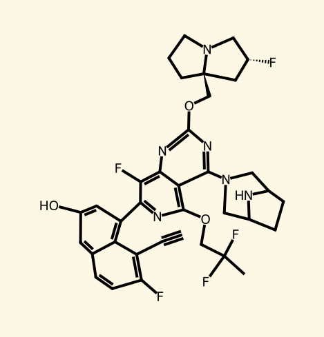 C#Cc1c(F)ccc2cc(O)cc(-c3nc(OCC(C)(F)F)c4c(N5CC6CCC(C5)N6)nc(OC[C@@]56CCCN5C[C@H](F)C6)nc4c3F)c12